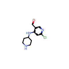 O=Cc1cnc(Cl)cc1NC1CCNCC1